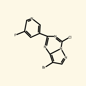 Fc1cncc(-c2nc(Cl)n3ncc(Br)c3n2)c1